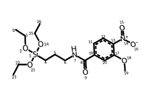 CCO[Si](CCCNC(=O)c1ccc([N+](=O)[O-])c(OC)c1)(OCC)OCC